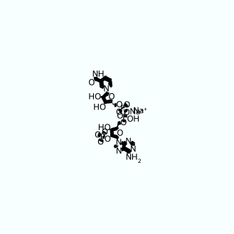 NC(=O)c1ccc[n+]([C@@H]2O[C@H](COP(=O)([O-])OP(=O)(O)OC[C@H]3O[C@@H](n4cnc5c(N)ncnc54)[C@H](OP(=O)([O-])[O-])[C@@H]3O)[C@@H](O)[C@H]2O)c1.[Na+].[Na+]